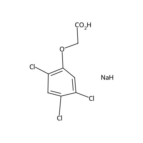 O=C(O)COc1cc(Cl)c(Cl)cc1Cl.[NaH]